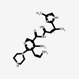 C/C(=C/C(=N)NC(=O)c1cnc(N2CCNCC2)c(/C=C\N)c1N)c1nc(C)c[nH]1